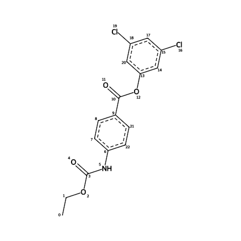 CCOC(=O)Nc1ccc(C(=O)Oc2cc(Cl)cc(Cl)c2)cc1